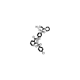 C=CC(N1CCCCC1)S(=O)(=O)c1ccc(NC(=O)c2cccnc2NS(=O)(=O)c2ccc(Cl)cc2)cc1